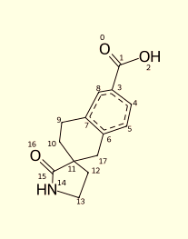 O=C(O)c1ccc2c(c1)CCC1(CCNC1=O)C2